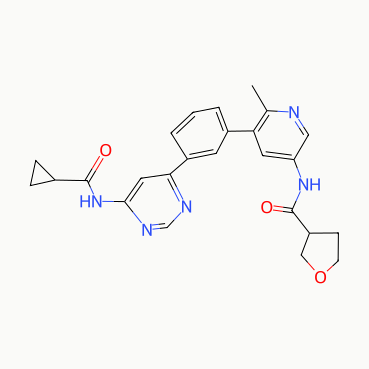 Cc1ncc(NC(=O)C2CCOC2)cc1-c1cccc(-c2cc(NC(=O)C3CC3)ncn2)c1